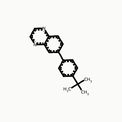 CC(C)(C)c1ccc(-c2ccc3nccnc3c2)cc1